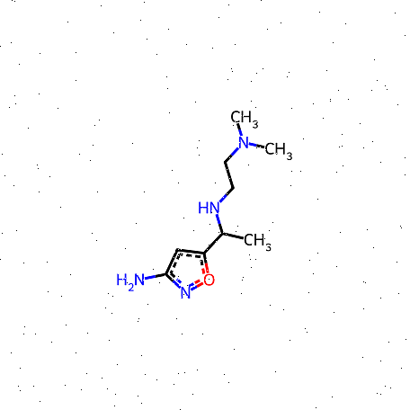 CC(NCCN(C)C)c1cc(N)no1